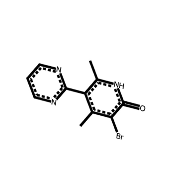 Cc1[nH]c(=O)c(Br)c(C)c1-c1ncccn1